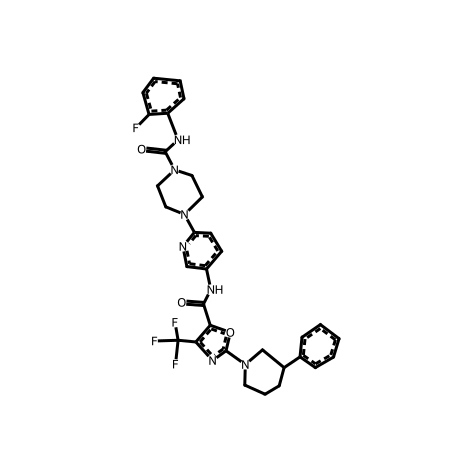 O=C(Nc1ccc(N2CCN(C(=O)Nc3ccccc3F)CC2)nc1)c1oc(N2CCCC(c3ccccc3)C2)nc1C(F)(F)F